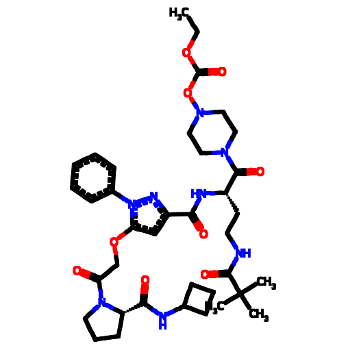 CCOC(=O)ON1CCN(C(=O)[C@H](CCNC(=O)C(C)(C)C)NC(=O)c2cc(OCC(=O)N3CCC[C@H]3C(=O)NC3CCC3)n(-c3ccccc3)n2)CC1